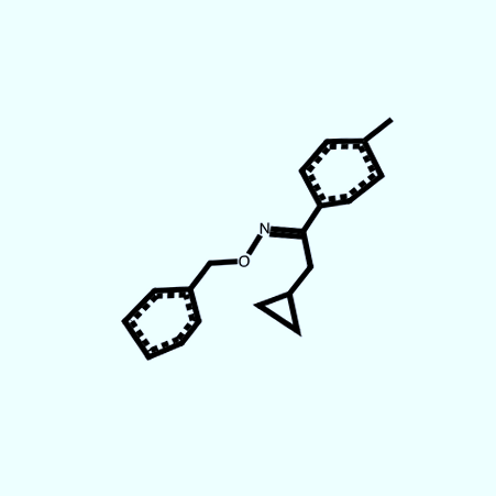 Cc1ccc(/C(CC2CC2)=N/OCc2ccccc2)cc1